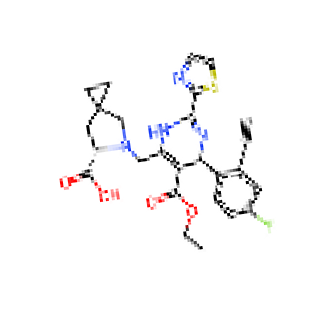 C#Cc1cc(F)ccc1[C@@H]1N=C(c2nccs2)NC(CN2CC3(CC3)C[C@H]2C(=O)O)=C1C(=O)OCC